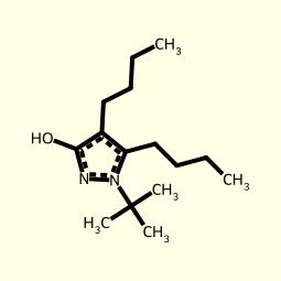 CCCCc1c(O)nn(C(C)(C)C)c1CCCC